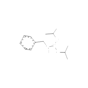 CC(C)OP(NCc1ccccc1)OC(C)C